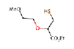 CCOC(=O)C(CS)OCCOC